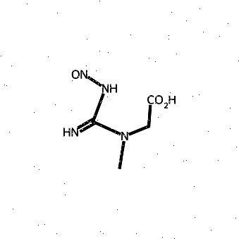 CN(CC(=O)O)C(=N)NN=O